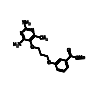 COC(=O)c1cccc(OCCCOc2c(C)nc(N)nc2N)c1